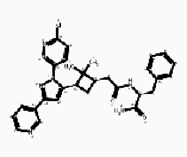 CC1(C)[C@@H](CC(=O)N[C@@H](Cc2ccccc2)C(N)=O)C[C@H]1c1cc(-c2cccnc2)nn1-c1ccc(Cl)nn1